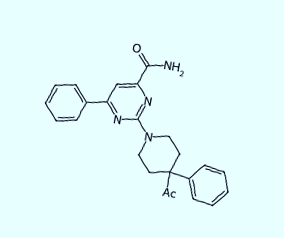 CC(=O)C1(c2ccccc2)CCN(c2nc(C(N)=O)cc(-c3ccccc3)n2)CC1